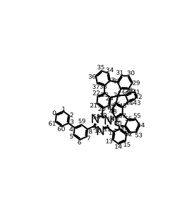 c1ccc(-c2cccc(-c3nc(-c4ccccc4)nc(-c4ccc5c(c4)C4(c6ccccc6-c6ccccc6-5)c5ccccc5-c5c4ccc4sc6ccccc6c54)n3)c2)cc1